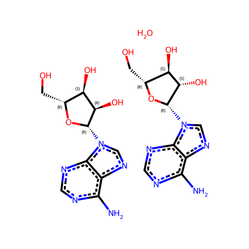 Nc1ncnc2c1ncn2[C@@H]1O[C@H](CO)[C@@H](O)[C@@H]1O.Nc1ncnc2c1ncn2[C@@H]1O[C@H](CO)[C@@H](O)[C@H]1O.O